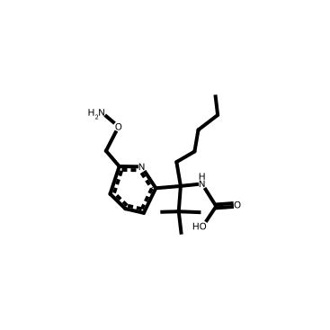 CCCCCC(NC(=O)O)(c1cccc(CON)n1)C(C)(C)C